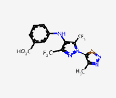 Cc1nnsc1-n1nc(C(F)(F)F)c(Nc2cccc(C(=O)O)c2)c1C(F)(F)F